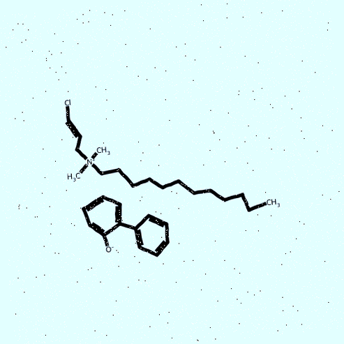 CCCCCCCCCCCC[N+](C)(C)CC=CCl.[O-]c1ccccc1-c1ccccc1